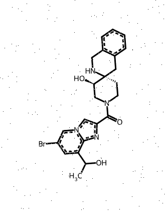 CC(O)c1cc(Br)cn2cc(C(=O)N3CC[C@]4(Cc5ccccc5CN4)[C@H](O)C3)nc12